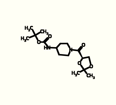 CC(C)(C)OC(=O)NC1CCN(C(=O)[C@H]2COC(C)(C)O2)CC1